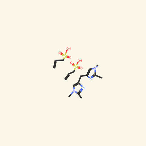 C=CCS(=O)(=O)O.C=CCS(=O)(=O)O.Cc1nc(Cc2cn(C)c(C)n2)cn1C